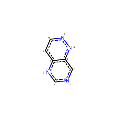 [c]1ncnc2ccnnc12